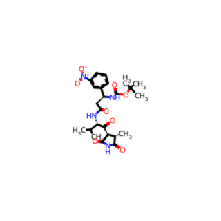 CC(C)[C@H](NC(=O)C[C@H](NC(=O)OC(C)(C)C)c1cccc([N+](=O)[O-])c1)C(=O)[C@@H]1C(=O)NC(=O)[C@H]1C